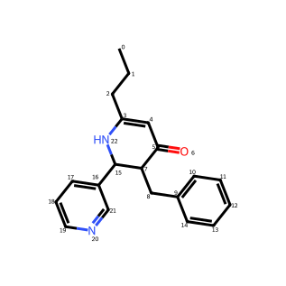 CCCC1=CC(=O)C(Cc2ccccc2)C(c2cccnc2)N1